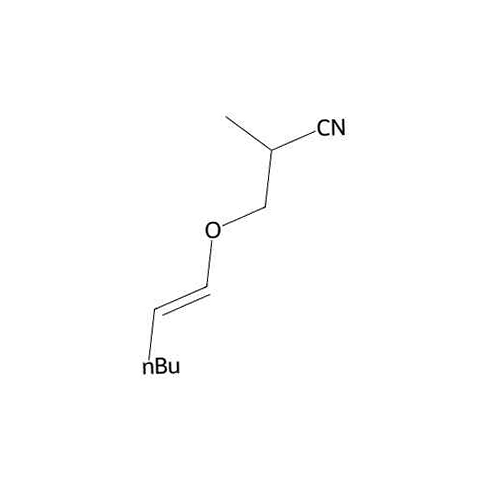 CCCCC=COCC(C)C#N